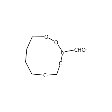 O=[C]N1CCCCCCCOO1